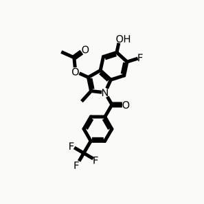 CC(=O)Oc1c(C)n(C(=O)c2ccc(C(F)(F)F)cc2)c2cc(F)c(O)cc12